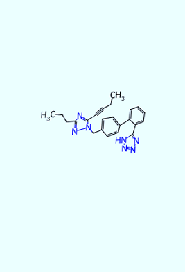 CCC#Cc1nc(CCC)nn1Cc1ccc(-c2ccccc2-c2nnn[nH]2)cc1